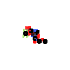 O=C(O)CC(NC(=O)C1(C(=O)NC2CCC(=O)N(c3cccc(Oc4ccccc4)c3)C2=O)CCC1)C(=O)COc1c(F)c(F)cc(F)c1F